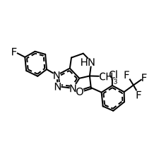 CC1(C(=O)c2cccc(C(F)(F)F)c2Cl)NCCc2c1nnn2-c1ccc(F)cc1